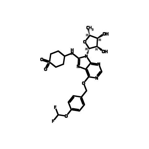 C[C@H]1O[C@@H](n2c(NC3CCS(=O)(=O)CC3)nc3c(OCc4ccc(OC(F)F)cc4)ncnc32)[C@H](O)[C@@H]1O